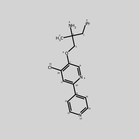 CC(C)CC(C)(N)COc1cnc(-c2ccncc2)cc1Cl